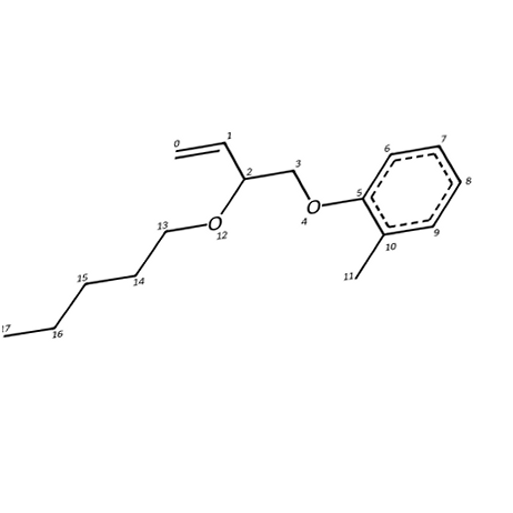 C=CC(COc1ccccc1C)OCCCCC